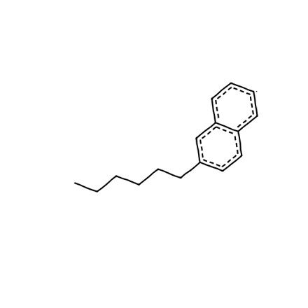 CCCCCCc1ccc2c[c]ccc2c1